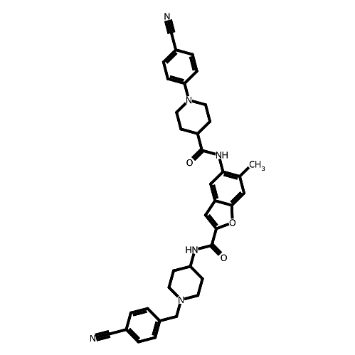 Cc1cc2oc(C(=O)NC3CCN(Cc4ccc(C#N)cc4)CC3)cc2cc1NC(=O)C1CCN(c2ccc(C#N)cc2)CC1